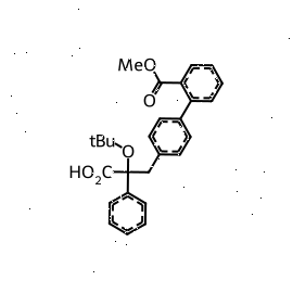 COC(=O)c1ccccc1-c1ccc(CC(OC(C)(C)C)(C(=O)O)c2ccccc2)cc1